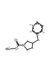 CC(C)(C)OC(=O)N1CCC(Cc2cccnc2)C1